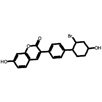 O=c1oc2cc(O)ccc2cc1-c1ccc(C2CCC(O)CC2Br)cc1